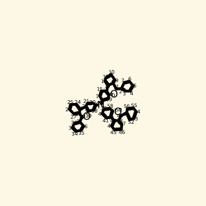 O=C(c1ccccc1)c1ccccc1-c1ccc(N(c2ccc(-c3ccccc3C(=O)c3ccccc3)cc2)c2ccc(-c3ccccc3C(=O)c3ccccc3)cc2)cc1